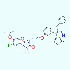 Cc1cccc2c(-c3cccc(OCCCN4C(=O)NC(C)(c5ccc(OC(C)C)c(F)c5)C4=O)c3)c(Cc3ccccc3)cnc12